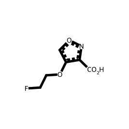 O=C(O)c1nocc1OCCF